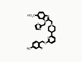 N#Cc1ccc(COc2cccc(C3CCN(Cc4nc5ccc(C(=O)O)cc5n4Cc4nccs4)CC3)n2)c(F)c1